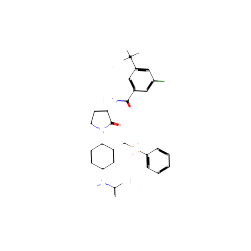 CC(C)N(C)[C@@H]1CC[C@H](N2CC[C@H](NC(=O)c3cc(Br)cc(C(C)(C)C)c3)C2=O)[C@@H](CS(=O)(=O)c2ccccc2)C1